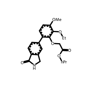 CCCOC(=O)COc1c(-c2ccc3c(c2)CNC3=O)ccc(OC)c1OCC